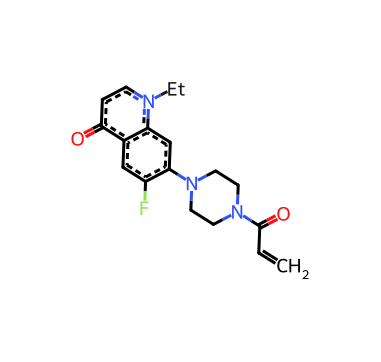 C=CC(=O)N1CCN(c2cc3c(cc2F)c(=O)ccn3CC)CC1